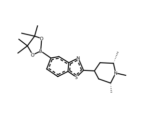 C[C@@H]1CC(c2nc3cc(B4OC(C)(C)C(C)(C)O4)ccc3s2)C[C@H](C)N1C